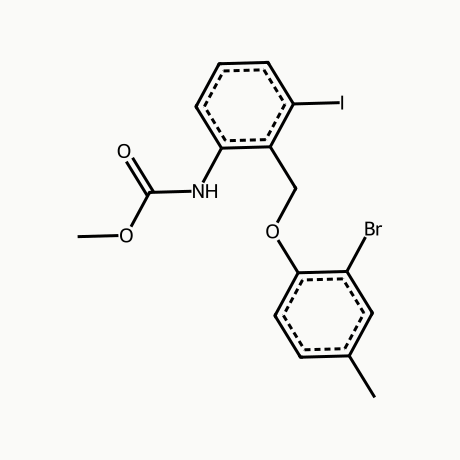 COC(=O)Nc1cccc(I)c1COc1ccc(C)cc1Br